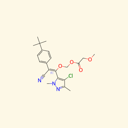 COCC(=O)OCO/C(=C(/C#N)c1ccc(C(C)(C)C)cc1)c1c(Cl)c(C)nn1C